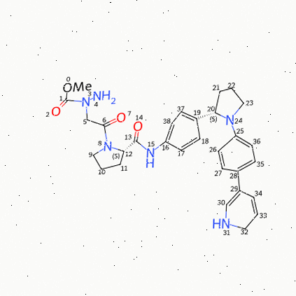 COC(=O)N(N)CC(=O)N1CCC[C@H]1C(=O)Nc1ccc([C@@H]2CCCN2c2ccc(C3=CNCC=C3)cc2)cc1